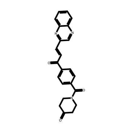 O=C1CCN(C(=O)c2ccc(C(=O)/C=C/c3cnc4ccccc4n3)cc2)CC1